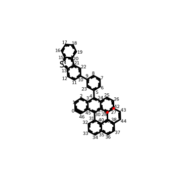 c1ccc2c(-c3cccc(-c4ccc5sc6ccccc6c5c4)c3)c3ccccc3c(-c3cccc4ccc5c(c34)CCC=C5)c2c#1